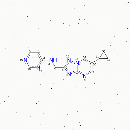 c1cc(NCc2nc3ncc(C4CC4)cn3n2)ncn1